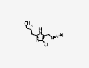 CCCCc1nc(Cl)c(CN=[N+]=[N-])[nH]1